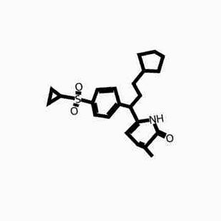 Cc1ccc(C(CCC2CCCC2)c2ccc(S(=O)(=O)C3CC3)cc2)[nH]c1=O